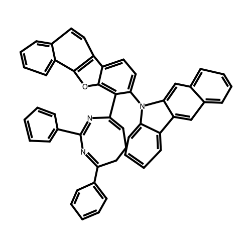 C1=C(c2c(-n3c4ccccc4c4cc5ccccc5cc43)ccc3c2oc2c4ccccc4ccc32)/N=C(c2ccccc2)\N=C(\c2ccccc2)CC\1